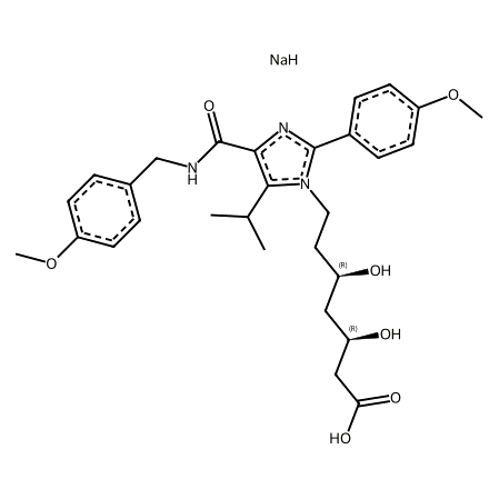 COc1ccc(CNC(=O)c2nc(-c3ccc(OC)cc3)n(CC[C@@H](O)C[C@@H](O)CC(=O)O)c2C(C)C)cc1.[NaH]